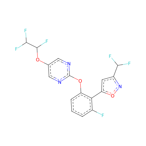 Fc1cccc(Oc2ncc(OC(F)C(F)F)cn2)c1-c1cc(C(F)F)no1